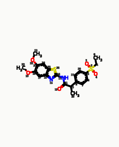 CCS(=O)(=O)c1ccc(C(C)C(=O)Nc2nc3cc(OC)c(OC)cc3s2)cc1